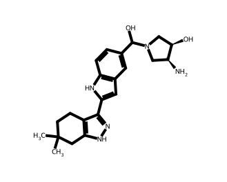 CC1(C)CCc2c(-c3cc4cc(C(O)N5C[C@@H](O)[C@@H](N)C5)ccc4[nH]3)n[nH]c2C1